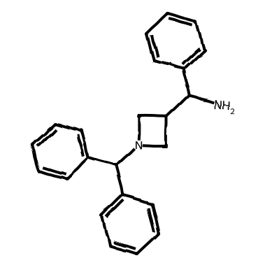 NC(c1ccccc1)C1CN(C(c2ccccc2)c2ccccc2)C1